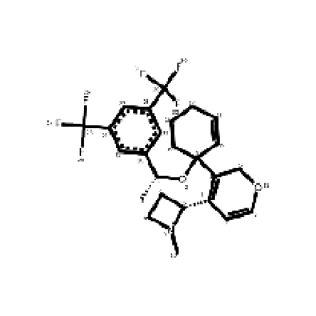 C[C@@H](OC1(C2=C([C@H]3CCN3C)C=COC2)C=CCCC1)c1cc(C(F)(F)F)cc(C(F)(F)F)c1